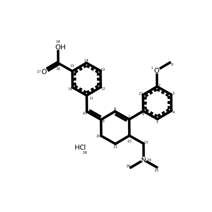 COc1cccc(C2=CC(=Cc3cccc(C(=O)O)c3)CCC2CN(C)C)c1.Cl